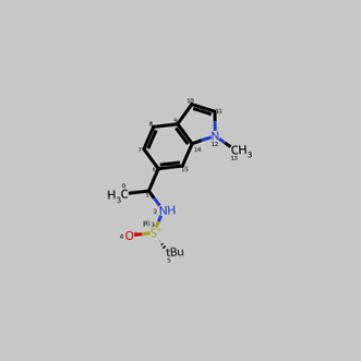 CC(N[S@@+]([O-])C(C)(C)C)c1ccc2ccn(C)c2c1